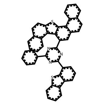 c1ccc(-c2nc(-c3cccc4c3sc3ccccc34)nc(-c3cc4ccc5ccccc5c4c4sc5ccc6ccccc6c5c34)n2)cc1